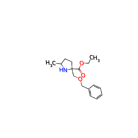 CCOC(=O)C1(COCc2ccccc2)CCC(C)N1